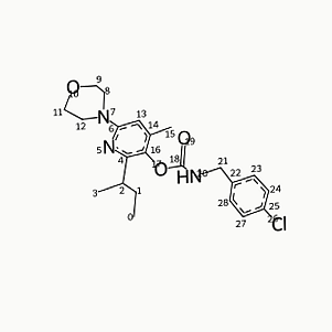 CCC(C)c1nc(N2CCOCC2)cc(C)c1OC(=O)NCc1ccc(Cl)cc1